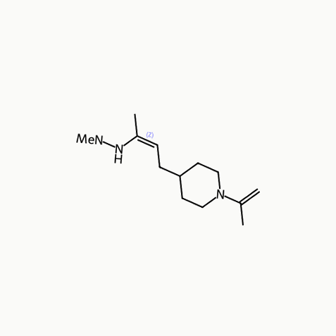 C=C(C)N1CCC(C/C=C(/C)NNC)CC1